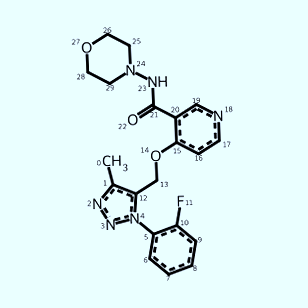 Cc1nnn(-c2ccccc2F)c1COc1ccncc1C(=O)NN1CCOCC1